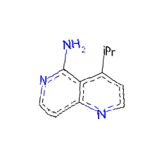 CC(C)c1ccnc2ccnc(N)c12